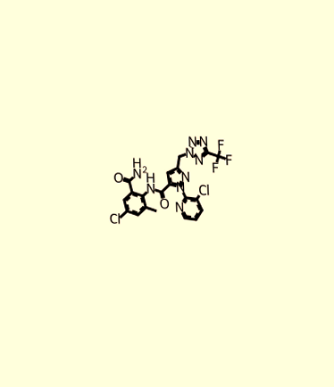 Cc1cc(Cl)cc(C(N)=O)c1NC(=O)c1cc(Cn2nnc(C(F)(F)F)n2)nn1-c1ncccc1Cl